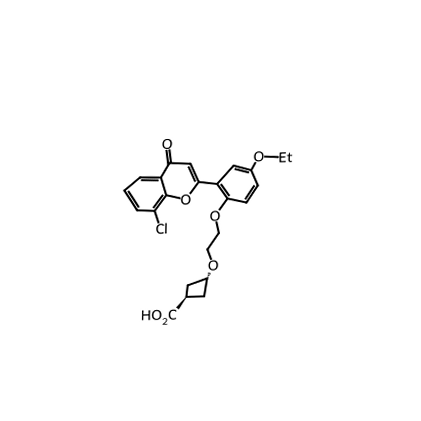 CCOc1ccc(OCCO[C@H]2C[C@H](C(=O)O)C2)c(-c2cc(=O)c3cccc(Cl)c3o2)c1